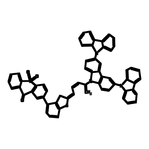 C=C(/C=C\C=C1/Cc2c(cccc2-c2ccc3c(c2)C(=O)c2ccccc2S3(=O)=O)S1)n1c2ccc(-n3c4ccccc4c4ccccc43)cc2c2cc(-n3c4ccccc4c4ccccc43)ccc21